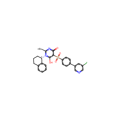 CCCCc1nc(=O)c(S(=O)(=O)c2ccc(-c3cncc(F)c3)cc2)c(O)n1[C@H]1CCCc2ccccc21